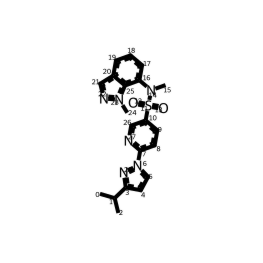 CC(C)c1ccn(-c2ccc(S(=O)(=O)N(C)c3cccc4cnn(C)c34)cn2)n1